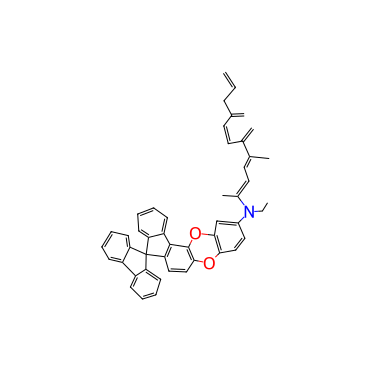 C=CCC(=C)/C=C\C(=C)/C(C)=C/C=C(\C)N(CC)c1ccc2c(c1)Oc1c(ccc3c1-c1ccccc1C31c3ccccc3-c3ccccc31)O2